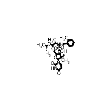 Cc1ccccc1CO[P@@](=O)(N[C@@H](C)C(=O)OC(C)C)OCC1OC(n2ccc(=O)[nH]c2=O)C(C)(F)C1O